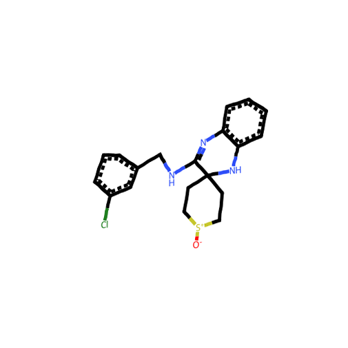 [O-][S+]1CCC2(CC1)Nc1ccccc1N=C2NCc1cccc(Cl)c1